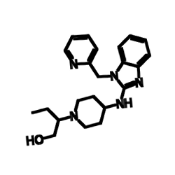 CCC(CO)N1CCC(Nc2nc3ccccc3n2Cc2ccccn2)CC1